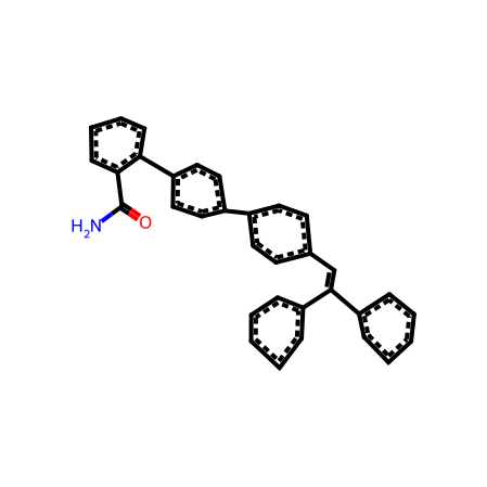 NC(=O)c1ccccc1-c1ccc(-c2ccc(C=C(c3ccccc3)c3ccccc3)cc2)cc1